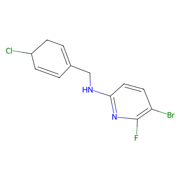 Fc1nc(NCC2=CCC(Cl)C=C2)ccc1Br